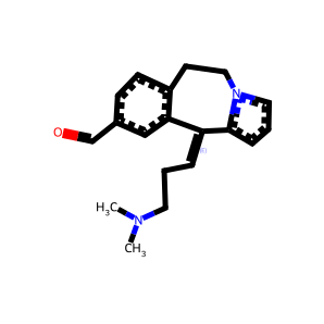 CN(C)CC/C=C1\c2cc(C=O)ccc2CCn2cccc21